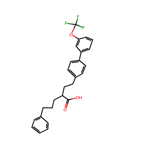 O=C(O)C(CCCc1ccccc1)CCc1ccc(-c2cccc(OC(F)(F)F)c2)cc1